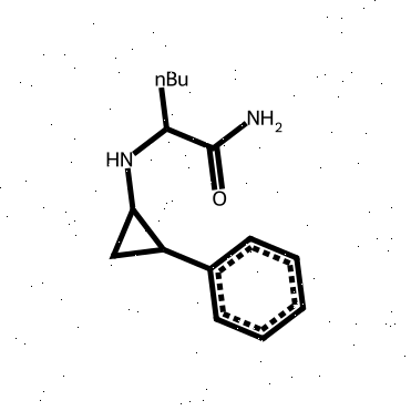 CCCCC(NC1CC1c1ccccc1)C(N)=O